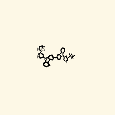 CC1(C)CN=C(c2cncc(-n3c4ccccc4c4cc(-c5ccc6c(c5)c5ccccc5n6-c5cncc(C6=NCC(C)(C)O6)c5)ccc43)c2)O1